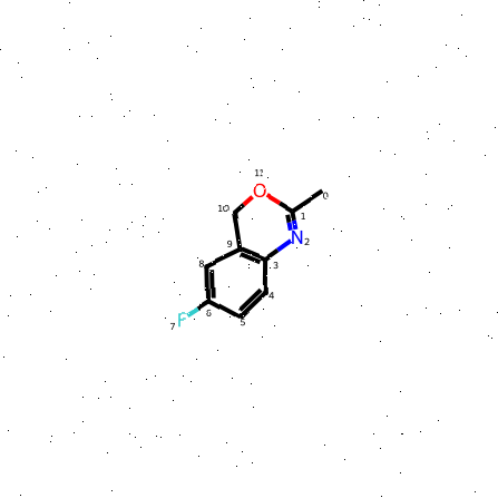 CC1=Nc2ccc(F)cc2CO1